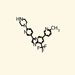 Cc1ccc(-c2cc(C(F)(F)F)c3ncc(-c4ccc(N5CCNCC5)nc4)n3c2)cn1